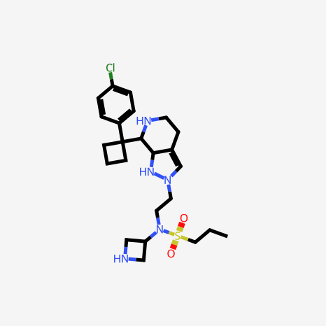 CCCS(=O)(=O)N(CCN1C=C2CCNC(C3(c4ccc(Cl)cc4)CCC3)C2N1)C1CNC1